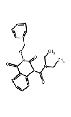 CCN(CC)C(=O)C1C(=O)N(OCc2ccccc2)C(=O)c2ccccc21